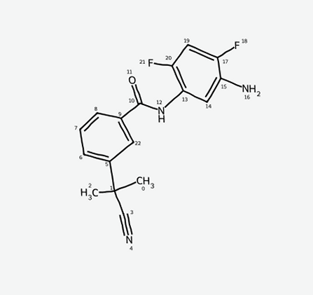 CC(C)(C#N)c1cccc(C(=O)Nc2cc(N)c(F)cc2F)c1